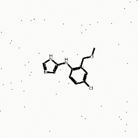 COCc1cc(Cl)ccc1Nc1cnc[nH]1